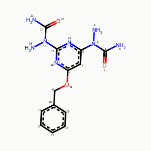 NC(=O)N(N)c1cc(OCc2ccccc2)nc(N(N)C(N)=O)n1